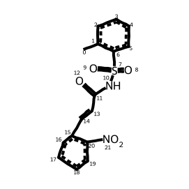 Cc1ccccc1S(=O)(=O)NC(=O)C=Cc1ccccc1[N+](=O)[O-]